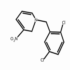 O=[N+]([O-])C1=CC=CN(Cc2cc(Cl)ccc2Cl)C1